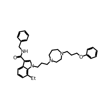 CCc1cccc2c(C(=O)NCc3ccccc3)cn(CCCN3CCCN(CCCOc4ccccc4)CC3)c12